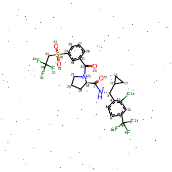 O=C(N[C@@H](c1ccc(C(F)(F)F)cc1F)C1CC1)[C@H]1CCCN1C(=O)c1cccc(S(=O)(=O)CC(F)(F)F)c1